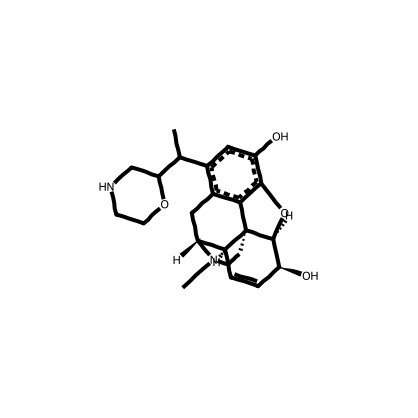 CC(c1cc(O)c2c3c1C[C@@H]1[C@@H]4C=C[C@H](O)[C@H](O2)[C@]34CCN1C)C1CNCCO1